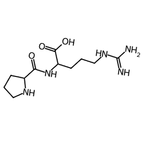 N=C(N)NCCCC(NC(=O)C1CCCN1)C(=O)O